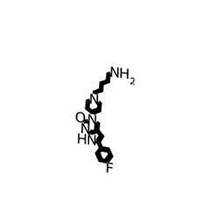 NCCCCCN1CC=C(n2cc3cc(-c4ccc(F)cc4)[nH]c3nc2=O)CC1